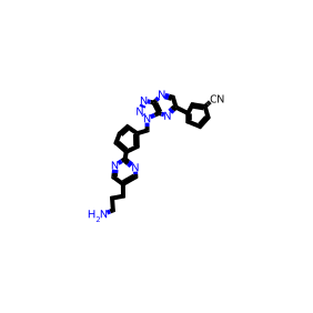 N#Cc1cccc(-c2cnc3nnn(Cc4cccc(-c5ncc(CCCN)cn5)c4)c3n2)c1